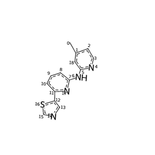 Cc1ccnc(Nc2cccc(-c3cncs3)n2)c1